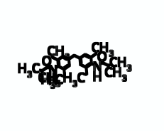 CCc1cc(Cc2cc(CC)c(NC(=O)C(C)C)c(CC)c2)cc(CC)c1NC(=O)C(C)C